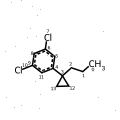 CCCC1(c2cc(Cl)[c]c(Cl)c2)CC1